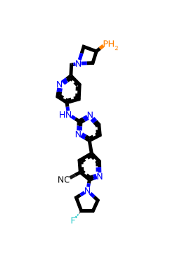 N#Cc1cc(-c2ccnc(Nc3ccc(CN4CC(P)C4)nc3)n2)cnc1N1CC[C@H](F)C1